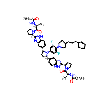 COC(=O)N[C@H](C(=O)N1CCC[C@H]1c1nc2cc([C@H]3CC[C@H](c4ccc5[nH]c([C@@H]6CCCN6C(=O)[C@@H](NC(=O)OC)C(C)C)nc5c4)N3c3cc(F)c(N4CCC(CCCc5ccccc5)CC4)c(F)c3)ccc2[nH]1)C(C)C